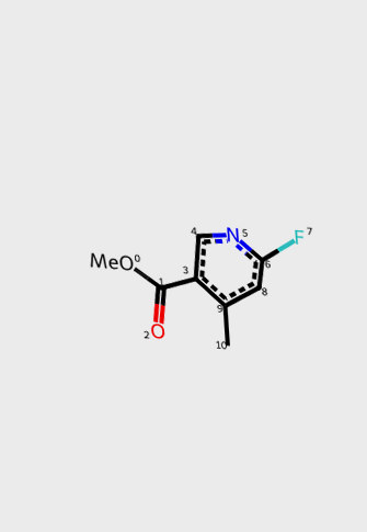 COC(=O)c1cnc(F)cc1C